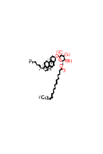 CCCCCCCC/C=C\CCCCCCCCCCCC(=O)OC[C@H]1O[C@@H](O[C@H]2CC[C@@]3(C)C(=CC[C@H]4[C@@H]5CC[C@H]([C@H](C)CCCC(C)C)[C@@]5(C)CC[C@@H]43)C2)[C@H](O)[C@@H](O)[C@@H]1O